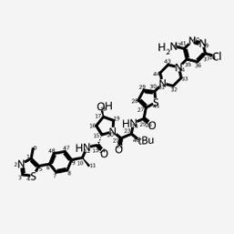 Cc1ncsc1-c1ccc([C@H](C)NC(=O)[C@@H]2C[C@@H](O)CN2C(=O)C(NC(=O)c2ccc(N3CCN(c4cc(Cl)nnc4N)CC3)s2)C(C)(C)C)cc1